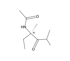 CC[C@@](C)(NC(C)=O)C(=O)C(C)C